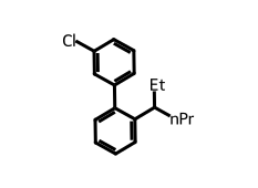 CCCC(CC)c1ccccc1-c1cccc(Cl)c1